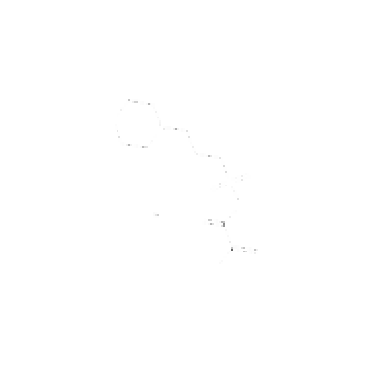 C=C(C)C(=O)OS(=O)(=O)CCCN1CCOCC1.[CaH2]